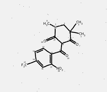 CN1CC(C)(C)C(=O)C(C(=O)c2ccc(C(F)(F)F)cc2[N+](=O)[O-])C1=O